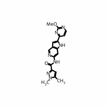 COc1nccc(-c2cc3cnc(NC(=O)c4cc(C)n(C)n4)cc3[nH]2)n1